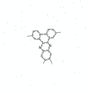 Cc1ccc2c3ccc(C)cc3c3nc4cc(C)c(C)cc4nc3c2c1